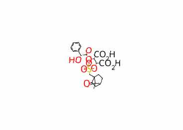 CC1(C)C2CCC1(CS(=O)(=O)OC(C(=O)O)C(OC(=O)C(O)c1ccccc1)C(=O)O)C(=O)C2